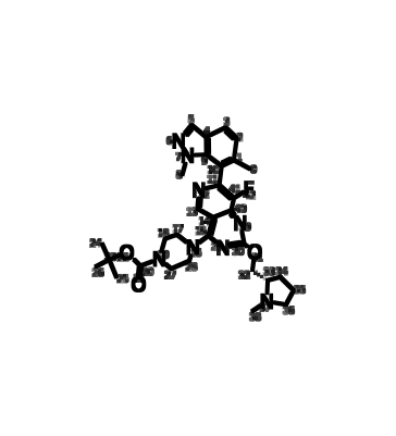 Cc1ccc2cnn(C)c2c1-c1ncc2c(N3CCN(C(=O)OC(C)(C)C)CC3)nc(OC[C@@H]3CCCN3C)nc2c1F